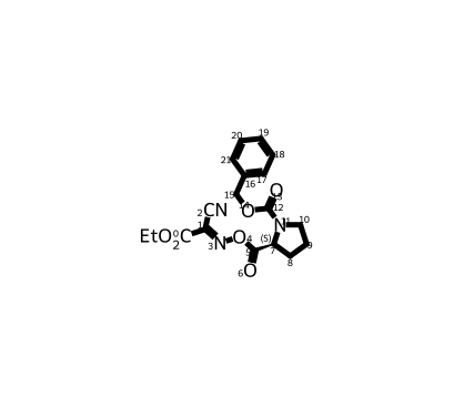 CCOC(=O)C(C#N)=NOC(=O)[C@@H]1CCCN1C(=O)OCc1ccccc1